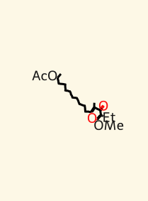 CCc1c(OC)oc(CCCCCCCCCC(C)OC(C)=O)c(C)c1=O